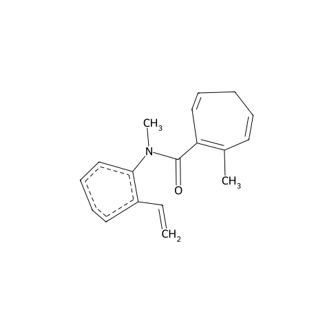 C=Cc1ccccc1N(C)C(=O)C1=C(C)C=CCC=C1